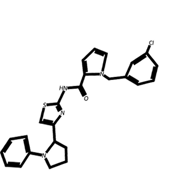 O=C(Nc1nc(C2CCCN2c2ccccc2)cs1)c1cccn1Cc1cccc(Cl)c1